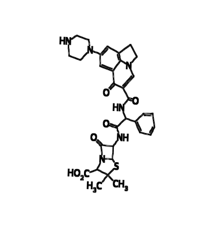 CC1(C)SC2C(NC(=O)C(NC(=O)c3cn4c5c(cc(N6CCNCC6)cc5c3=O)CC4)c3ccccc3)C(=O)N2C1C(=O)O